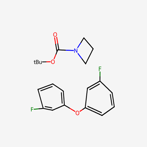 CC(C)(C)OC(=O)N1CCC1.Fc1cccc(Oc2cccc(F)c2)c1